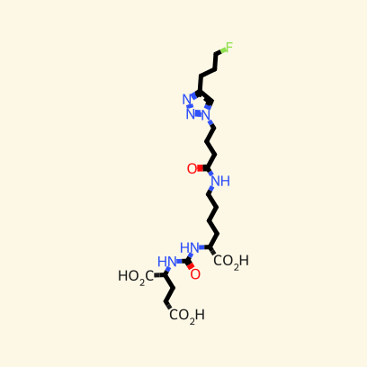 O=C(O)CCC(NC(=O)NC(CCCCNC(=O)CCCn1cc(CCCF)nn1)C(=O)O)C(=O)O